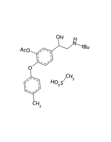 CC(=O)Oc1cc(C(O)CNC(C)(C)C)ccc1Oc1ccc(C)cc1.CS(=O)(=O)O